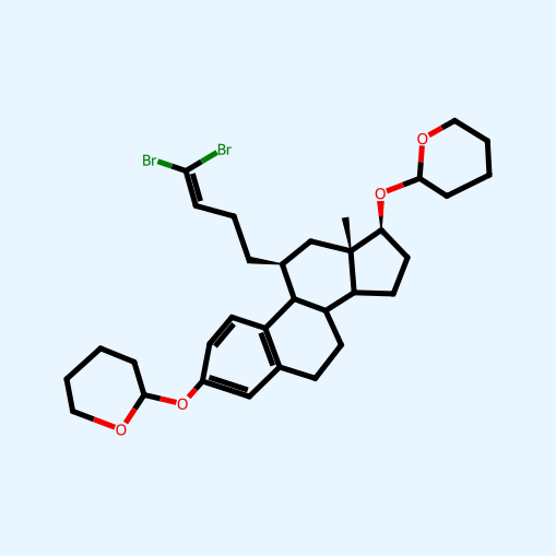 C[C@]12C[C@H](CCC=C(Br)Br)C3c4ccc(OC5CCCCO5)cc4CCC3C1CC[C@@H]2OC1CCCCO1